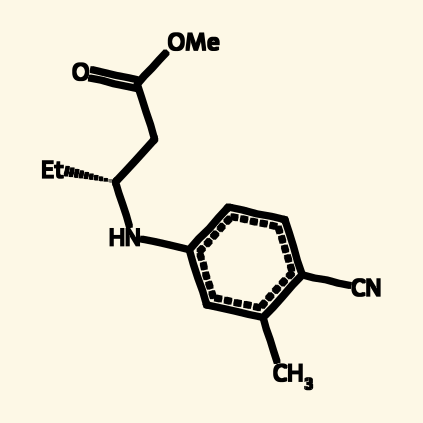 CC[C@H](CC(=O)OC)Nc1ccc(C#N)c(C)c1